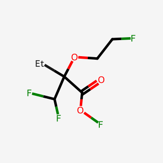 CCC(OCCF)(C(=O)OF)C(F)F